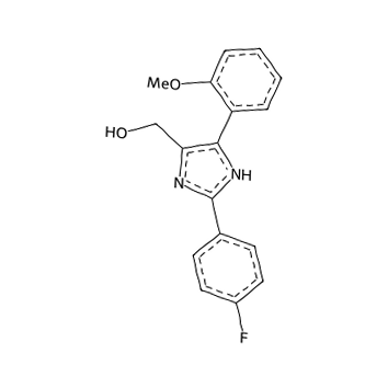 COc1ccccc1-c1[nH]c(-c2ccc(F)cc2)nc1CO